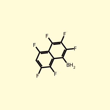 Bc1c(F)c(F)c(F)c2c(F)cc(F)c(F)c12